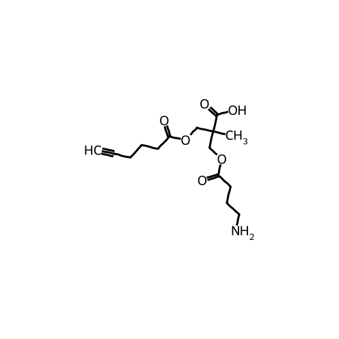 C#CCCCC(=O)OCC(C)(COC(=O)CCCN)C(=O)O